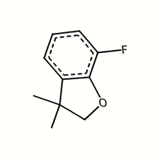 CC1(C)COc2c(F)cccc21